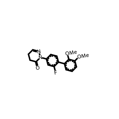 COc1cccc(-c2ccc(N3N=CCCC3=O)cc2F)c1OC